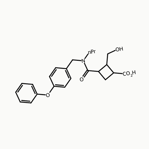 CCCN(Cc1ccc(Oc2ccccc2)cc1)C(=O)C1CC(C(=O)O)C1CO